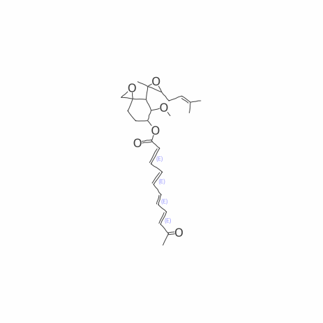 COC1C(OC(=O)/C=C/C=C/C=C/C=C/C(C)=O)CCC2(CO2)C1C1(C)OC1CC=C(C)C